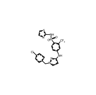 O=S(=O)(Nc1nccs1)c1ccc(Nc2ccn(Cc3ccc(Cl)cc3)n2)cc1C(F)(F)F